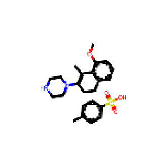 COc1cccc2c1C(C)=C(N1CCNCC1)CC2.Cc1ccc(S(=O)(=O)O)cc1